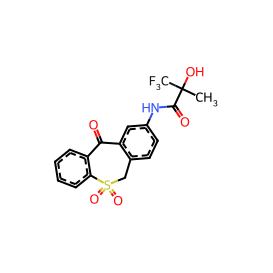 CC(O)(C(=O)Nc1ccc2c(c1)C(=O)c1ccccc1S(=O)(=O)C2)C(F)(F)F